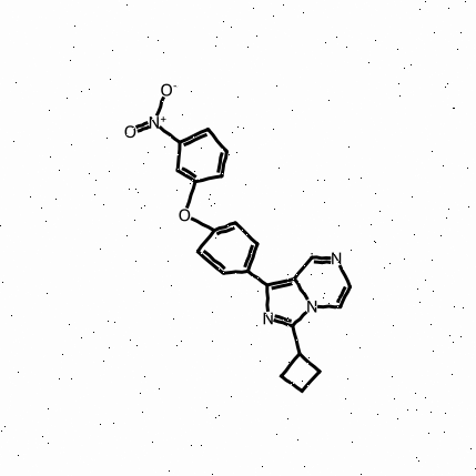 O=[N+]([O-])c1cccc(Oc2ccc(-c3nc(C4CCC4)n4ccn[c]c34)cc2)c1